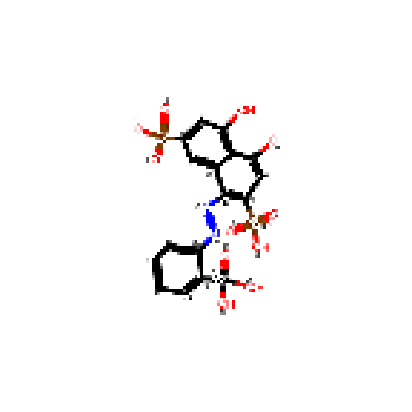 O=S(=O)(O)c1cc(O)c2c(O)cc(S(=O)(=O)O)c(/N=N/c3ccccc3[As](=O)(O)O)c2c1